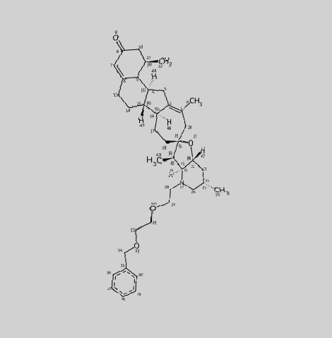 CC1=C2C[C@@H]3C4C(=CC(=O)C[C@H]4C)CC[C@H]3[C@@H]2CC[C@@]2(C1)O[C@@H]1C[C@H](C)CN(CCOCCOCc3ccccc3)[C@H]1[C@H]2C